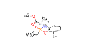 CC[C@@H](C)OC(=O)[C@H](C)NP(=O)(COC)Oc1c(C(C)C)cccc1C(C)C